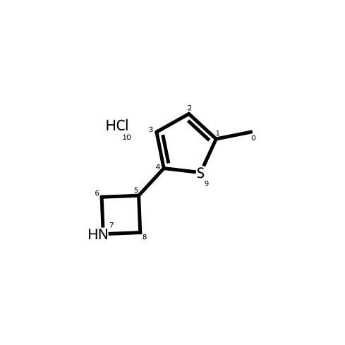 Cc1ccc(C2CNC2)s1.Cl